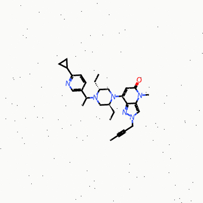 CC#CCn1cc2c(n1)c(N1C[C@@H](CC)N(C(C)c3ccc(C4CC4)nc3)C[C@@H]1CC)cc(=O)n2C